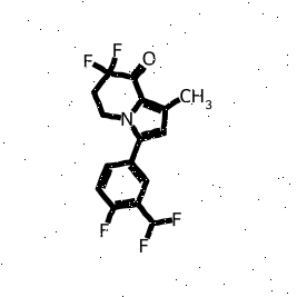 Cc1cc(-c2ccc(F)c(C(F)F)c2)n2c1C(=O)C(F)(F)CC2